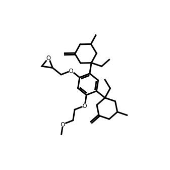 C=C1CC(C)CC(CC)(c2cc(C3(CC)CC(=C)CC(C)C3)c(OCC3CO3)cc2OCCOC)C1